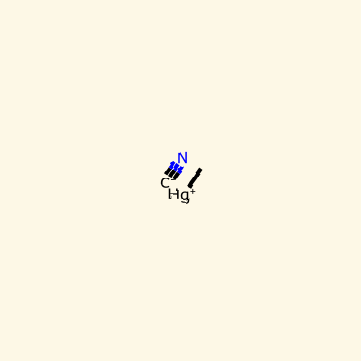 [C-]#N.[CH3][Hg+]